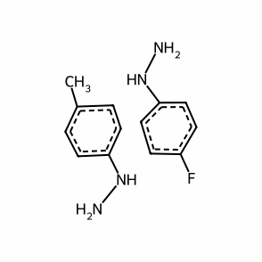 Cc1ccc(NN)cc1.NNc1ccc(F)cc1